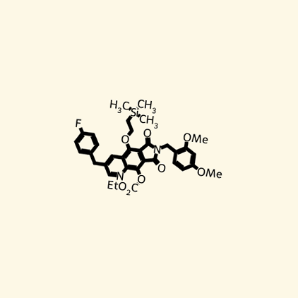 CCOC(=O)Oc1c2c(c(OCC[Si](C)(C)C)c3cc(Cc4ccc(F)cc4)cnc13)C(=O)N(Cc1ccc(OC)cc1OC)C2=O